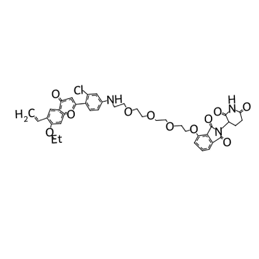 C=Cc1cc2c(=O)cc(-c3ccc(NCCOCCOCCOCCOc4cccc5c4C(=O)N(C4CCC(=O)NC4=O)C5=O)cc3Cl)oc2cc1OCC